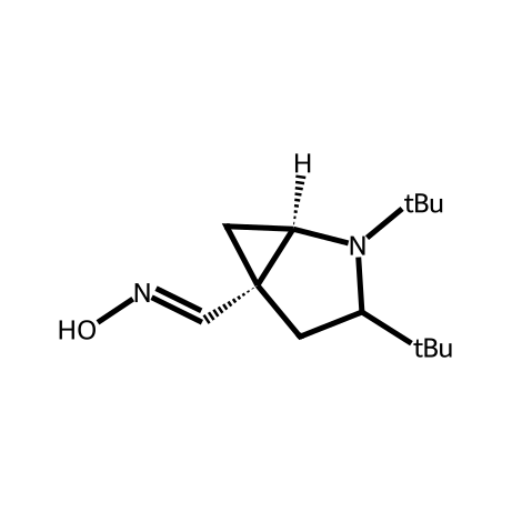 CC(C)(C)C1C[C@@]2(/C=N/O)C[C@H]2N1C(C)(C)C